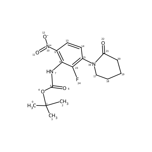 CC(C)(C)OC(=O)Nc1c([N+](=O)[O-])ccc(N2CCCCC2=O)c1F